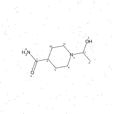 CC(O)N1CCC(C(N)=O)CC1